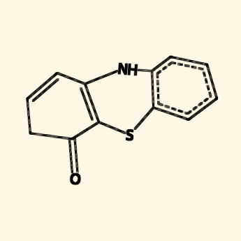 O=C1CC=CC2=C1Sc1ccccc1N2